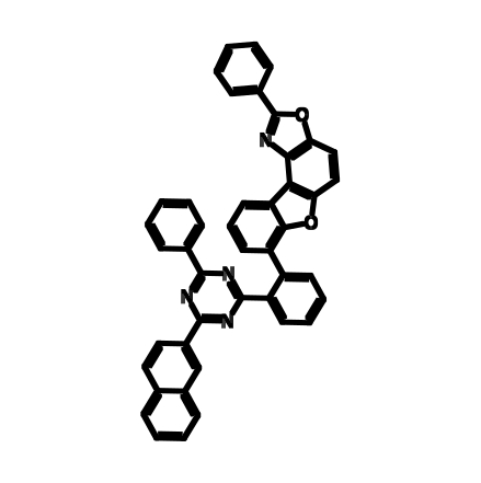 c1ccc(-c2nc(-c3ccc4ccccc4c3)nc(-c3ccccc3-c3cccc4c3oc3ccc5oc(-c6ccccc6)nc5c34)n2)cc1